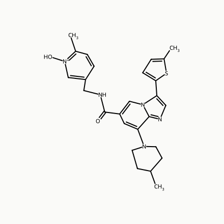 Cc1ccc(-c2cnc3c(N4CCC(C)CC4)cc(C(=O)NCc4ccc(C)[n+](O)c4)cn23)s1